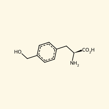 N[C@@H](Cc1ccc(CO)cc1)C(=O)O